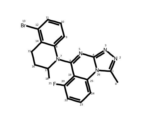 Cc1nnc2nc(N3c4cccc(Br)c4CCC3C)c3c(F)cccc3n12